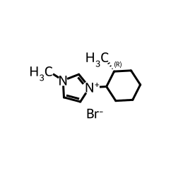 C[C@@H]1CCCCC1[n+]1ccn(C)c1.[Br-]